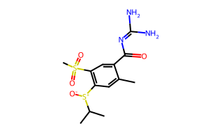 Cc1cc([S+]([O-])C(C)C)c(S(C)(=O)=O)cc1C(=O)N=C(N)N